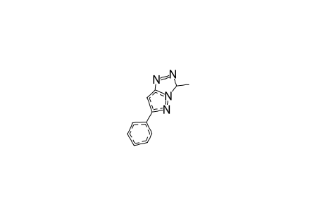 CC1N=Nc2cc(-c3ccccc3)nn21